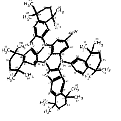 Cc1cc2c(cc1N1c3cc4c(cc3B3c5sc6cc7c(cc6c5N(c5ccc6c(c5)C(C)(C)CCC6(C)C)c5cc(C(C)C)cc1c53)C(C)(C)CCC7(C)C)C(C)(C)CCC4(C)C)C(C)(C)CCC2(C)C